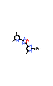 CC[CH]c1nc(C)cc(-c2nc(-c3cc(C)cc(C)n3)no2)n1